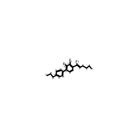 CCCCC=C(F)c1ccc(-c2ccc(CCC)cc2)c(F)c1F